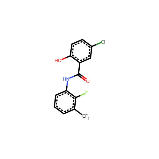 O=C(Nc1cccc(C(F)(F)F)c1F)c1cc(Cl)ccc1O